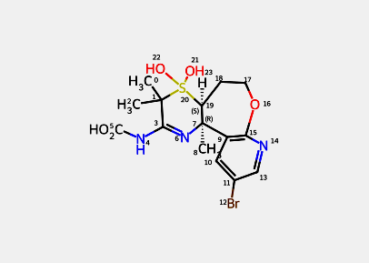 CC1(C)C(NC(=O)O)=N[C@]2(C)c3cc(Br)cnc3OCC[C@@H]2S1(O)O